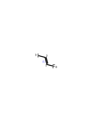 F/C=C/I